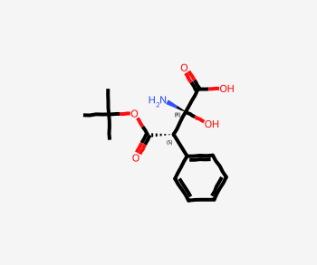 CC(C)(C)OC(=O)[C@@H](c1ccccc1)[C@@](N)(O)C(=O)O